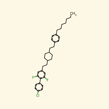 CCCCCCCc1ccc(CCC2CCC(CCc3cc(F)c(-c4ccc(Cl)cc4)c(F)c3)CC2)cc1